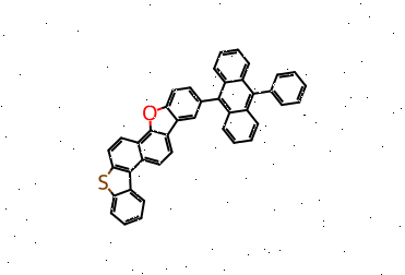 c1ccc(-c2c3ccccc3c(-c3ccc4oc5c(ccc6c5ccc5sc7ccccc7c56)c4c3)c3ccccc23)cc1